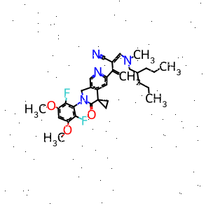 C=C(/C(C#N)=C\N(C)CC(CCC)CCC)c1cc2c(cn1)CN(c1c(F)c(OC)cc(OC)c1F)C(=O)C21CC1